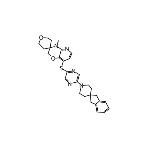 CN1c2nccc(Sc3cnc(N4CCC5(CC4)Cc4ccccc4C5)cn3)c2OCC12CCOCC2